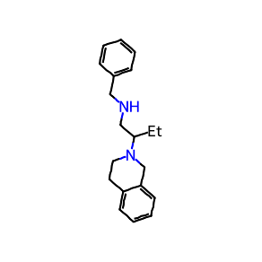 CCC(CNCc1ccccc1)N1CCc2ccccc2C1